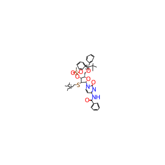 CC(C)(C)[Si](OC[C@H]1O[C@@H](n2ccc(NC(=O)c3ccccc3)nc2=O)C(SCC[Si](C)(C)C)C1OS(C)(=O)=O)(c1ccccc1)c1ccccc1